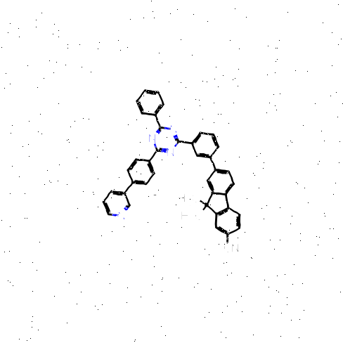 CC1(C)c2cc(C#N)ccc2-c2ccc(-c3cccc(-c4nc(-c5ccccc5)nc(-c5ccc(-c6cccnc6)cc5)n4)c3)cc21